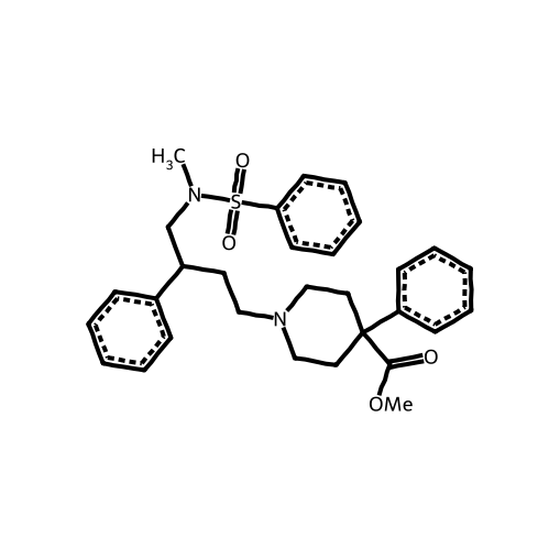 COC(=O)C1(c2ccccc2)CCN(CCC(CN(C)S(=O)(=O)c2ccccc2)c2ccccc2)CC1